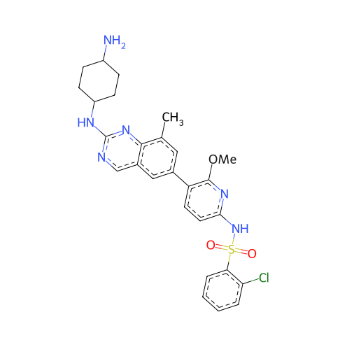 COc1nc(NS(=O)(=O)c2ccccc2Cl)ccc1-c1cc(C)c2nc(NC3CCC(N)CC3)ncc2c1